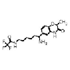 CC1Oc2ccc(C(N)CCCCCNC(=O)C(F)(F)F)cc2NC1=O